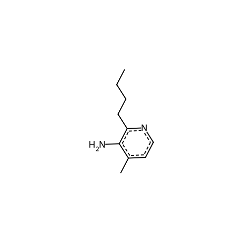 CCCCc1nccc(C)c1N